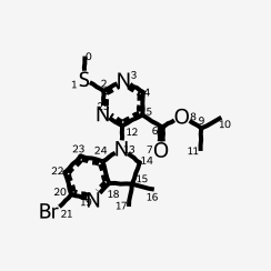 CSc1ncc(C(=O)OC(C)C)c(N2CC(C)(C)c3nc(Br)ccc32)n1